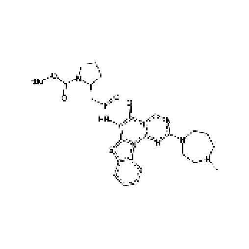 CN1CCCN(c2ncc3c(=O)c(NC(=O)CC4CCCN4C(=O)OC(C)(C)C)c4sc5ccccc5n4c3n2)CC1